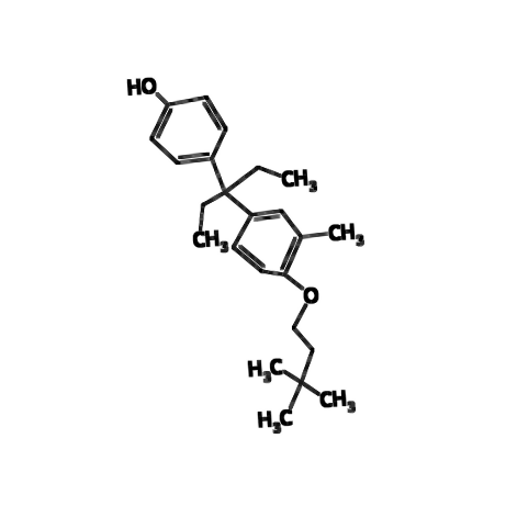 CCC(CC)(c1ccc(O)cc1)c1ccc(OCCC(C)(C)C)c(C)c1